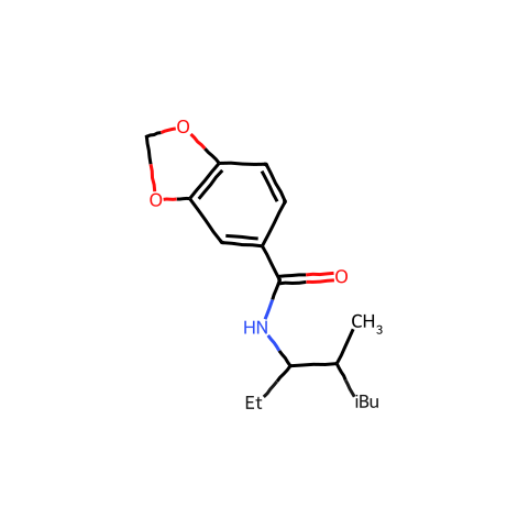 CCC(C)C(C)C(CC)NC(=O)c1ccc2c(c1)OCO2